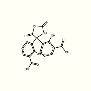 O=C1NC(=O)C(c2cccc(C(=O)O)c2O)(c2cccc(C(=O)O)c2O)N1